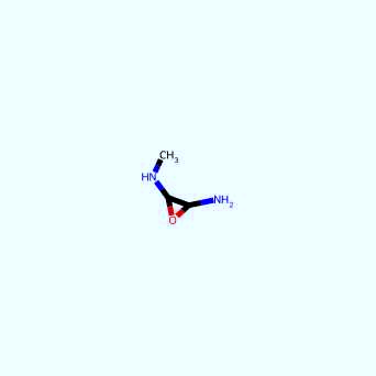 CNC1OC1N